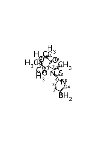 Bc1ccc(-c2nc(C3C(=O)C(C)(C)OC(C)(C)C3=O)c(C)s2)nc1